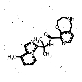 Cc1cccn2c(C(C)(C)NC(=O)c3nccc4c3OCCNC4)ncc12